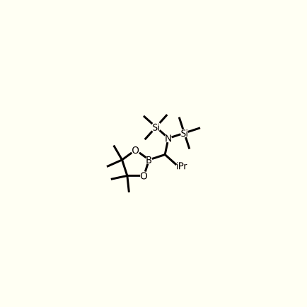 CC(C)C(B1OC(C)(C)C(C)(C)O1)N([Si](C)(C)C)[Si](C)(C)C